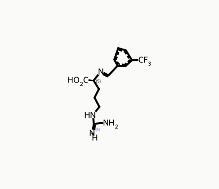 [H]/N=C(\N)NCCC[C@H](N=Cc1cccc(C(F)(F)F)c1)C(=O)O